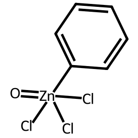 [O]=[Zn]([Cl])([Cl])([Cl])[c]1ccccc1